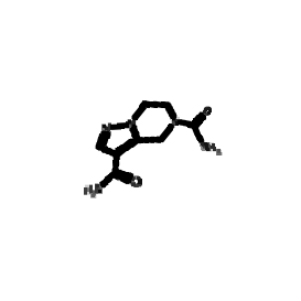 NC(=O)c1cnn2c1CN(C(N)=O)CC2